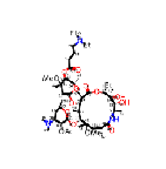 CC[C@H]1OC(=O)[C@H](C)[C@@H](O[C@H]2C[C@@](C)(OC)C(OC(=O)CCCN(CC)CC)[C@H](C)O2)[C@H](C)[C@@H](O[C@@H]2O[C@H](C)C[C@H](N(C)C)[C@H]2OC(C)=O)[C@](C)(OC)C[C@@H](C)C(=O)N[C@H](C)[C@@H](O)[C@]1(C)O